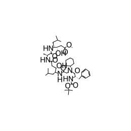 COC(=O)C[C@H](O)[C@H](CC(C)C)NC(=O)[C@H](C)NC(=O)C[C@H](O)[C@H](CC(C)C)NC(=O)CN(C(=O)[C@H](Cc1ccccc1)NC(=O)OC(C)(C)C)C1CCCCC1